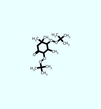 CC1C(OOC(C)(C)C)C(=O)CC(C)(C)C1OOC(C)(C)C